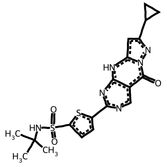 CC(C)(C)NS(=O)(=O)c1ccc(-c2ncc3c(=O)n4nc(C5CC5)cc4[nH]c3n2)s1